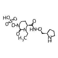 CCN1C(=O)N(OS(=O)(=O)O)CC[C@H]1C(=O)NOC[C@H]1CCCN1